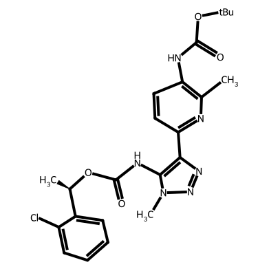 Cc1nc(-c2nnn(C)c2NC(=O)O[C@H](C)c2ccccc2Cl)ccc1NC(=O)OC(C)(C)C